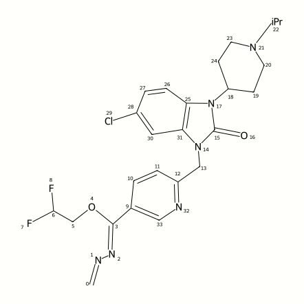 C=N/N=C(\OCC(F)F)c1ccc(Cn2c(=O)n(C3CCN(C(C)C)CC3)c3ccc(Cl)cc32)nc1